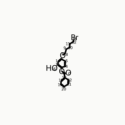 O=C(Oc1ccc(OCCCCCBr)cc1O)c1ccccc1